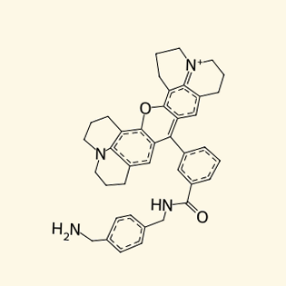 NCc1ccc(CNC(=O)c2cccc(C3=c4cc5c6c(c4Oc4c3cc3c7c4CCCN7CCC3)CCC[N+]=6CCC5)c2)cc1